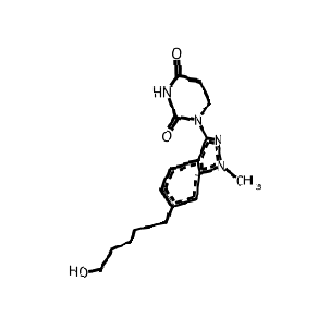 Cn1nc(N2CCC(=O)NC2=O)c2ccc(CCCCCO)cc21